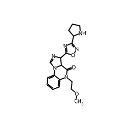 COCCN1C(=O)C2C(c3nc(C4CCCN4)no3)N=CN2c2ccccc21